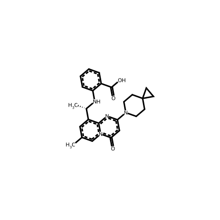 Cc1cc([C@H](C)Nc2ccccc2C(=O)O)c2nc(N3CCC4(CC3)CC4)cc(=O)n2c1